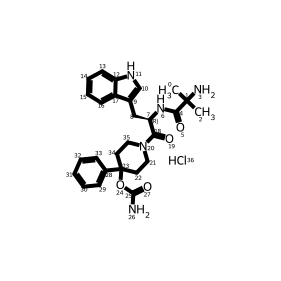 CC(C)(N)C(=O)N[C@H](Cc1c[nH]c2ccccc12)C(=O)N1CCC(OC(N)=O)(c2ccccc2)CC1.Cl